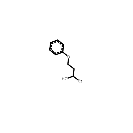 CCC(O)CCOc1ccccc1